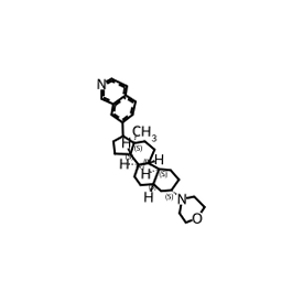 C[C@]12CC[C@H]3[C@@H](CC[C@H]4C[C@@H](N5CCOCC5)CC[C@@H]43)[C@@H]1CCC2c1ccc2ccncc2c1